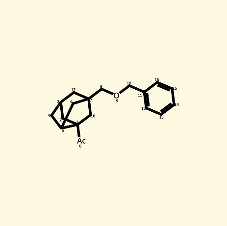 CC(=O)C12CC3CC1CC(COCc1ccccc1)(C3)C2